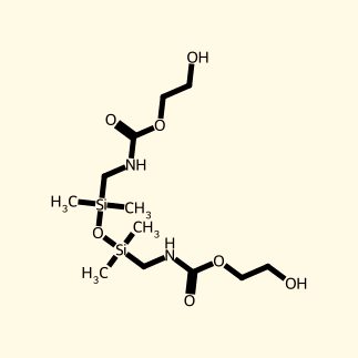 C[Si](C)(CNC(=O)OCCO)O[Si](C)(C)CNC(=O)OCCO